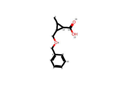 CC1C(COCc2ccccc2)C1C(=O)O